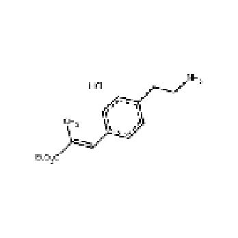 CCOC(=O)/C(C)=C/c1ccc(CCN)cc1.Cl